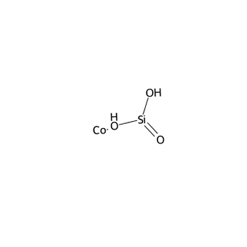 O=[Si](O)O.[Co]